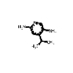 CC(C)c1cc(N)ncc1N